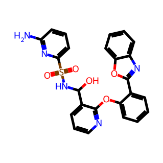 Nc1cccc(S(=O)(=O)NC(O)c2cccnc2Oc2ccccc2-c2nc3ccccc3o2)n1